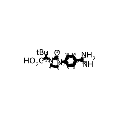 CC(C)(C)C(C(=O)O)N1CCN(c2ccc(C(=N)N)cc2)C1=O